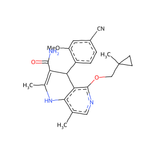 COc1cc(C#N)ccc1C1C(C(N)=O)=C(C)Nc2c(C)cnc(OCC3(C)CC3)c21